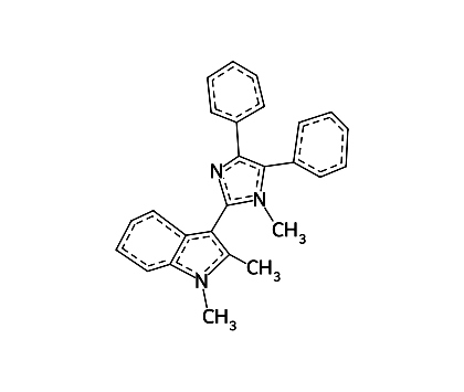 Cc1c(-c2nc(-c3ccccc3)c(-c3ccccc3)n2C)c2ccccc2n1C